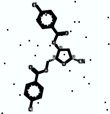 N#C[C@H]1C[C@H](OC(=O)c2ccc(Cl)cc2)[C@@H](COC(=O)c2ccc(Cl)cc2)O1